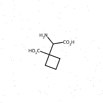 NC(C(=O)O)C1(C(=O)O)CCC1